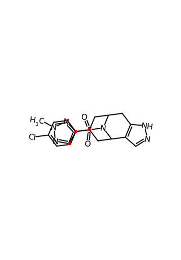 Cn1ncc(C2CC3Cc4[nH]ncc4C(C2)N3S(=O)(=O)c2ccc(Cl)cc2)n1